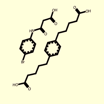 O=C(O)CC(=O)Nc1ccc(Br)cc1.O=C(O)CCCCc1ccc(CCCCC(=O)O)cc1